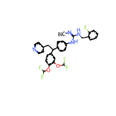 N#CN=C(NCc1ccccc1F)Nc1ccc(C(Cc2ccncc2)c2ccc(OC(F)F)c(OC(F)F)c2)cc1